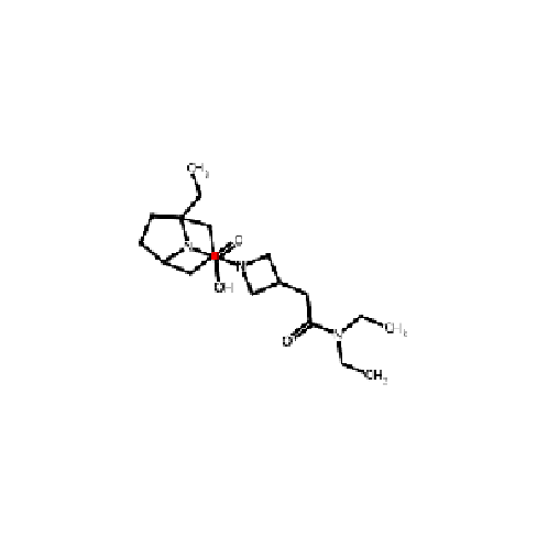 CCN(CC)C(=O)CC1CN(C2CC3CCC(CC)(C2)N3C(=O)O)C1